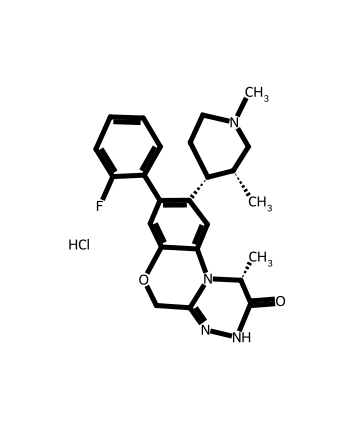 C[C@@H]1C(=O)NN=C2COc3cc(-c4ccccc4F)c([C@@H]4CCN(C)C[C@@H]4C)cc3N21.Cl